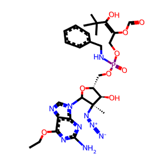 CCOc1nc(N)nc2c1ncn2C1O[C@H](COP(=O)(NCc2ccccc2)OC/C(OC=O)=C(/O)C(C)(C)C)[C@@H](O)[C@@]1(C)N=[N+]=[N-]